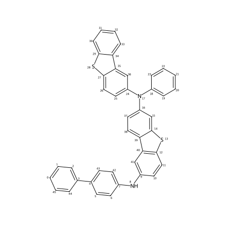 c1ccc(-c2ccc(Nc3ccc4sc5cc(N(c6ccccc6)c6ccc7sc8ccccc8c7c6)ccc5c4c3)cc2)cc1